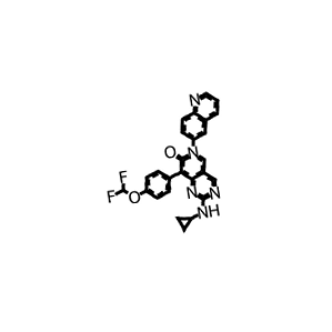 O=c1c(-c2ccc(OC(F)F)cc2)c2nc(NC3CC3)ncc2cn1-c1ccc2ncccc2c1